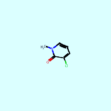 Cn1c[c]cc(Cl)c1=O